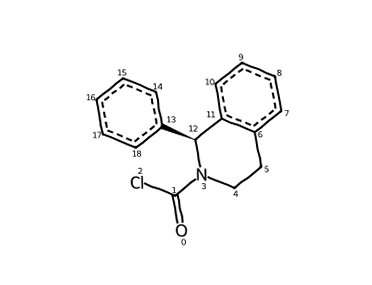 O=C(Cl)N1CCc2ccccc2[C@@H]1c1ccccc1